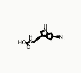 N#Cc1ccc2c(C#CCNC(=O)O)c[nH]c2c1